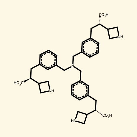 O=C(O)[C@@H](Cc1cccc(CN(Cc2cccc(C[C@H](C(=O)O)C3CNC3)c2)Cc2cccc(C[C@H](C(=O)O)C3CNC3)c2)c1)C1CNC1